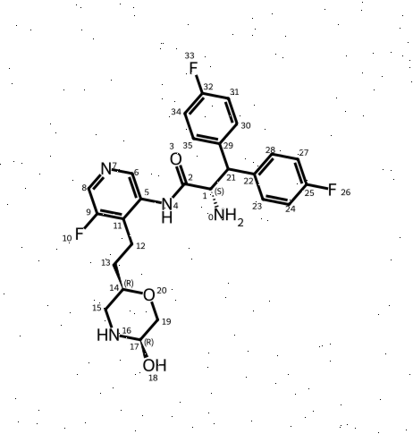 N[C@H](C(=O)Nc1cncc(F)c1CC[C@@H]1CN[C@H](O)CO1)C(c1ccc(F)cc1)c1ccc(F)cc1